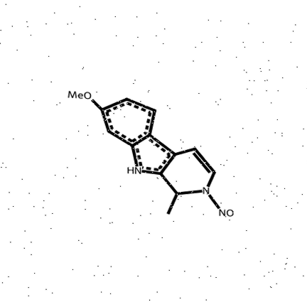 COc1ccc2c3c([nH]c2c1)C(C)N(N=O)C=C3